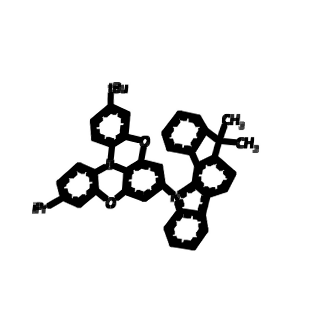 CC(C)c1ccc2c(c1)Oc1cc(-n3c4ccccc4c4ccc5c(c43)-c3ccccc3C5(C)C)cc3c1B2c1ccc(C(C)(C)C)cc1O3